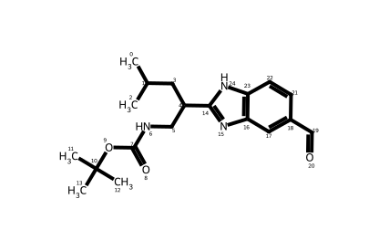 CC(C)CC(CNC(=O)OC(C)(C)C)c1nc2cc(C=O)ccc2[nH]1